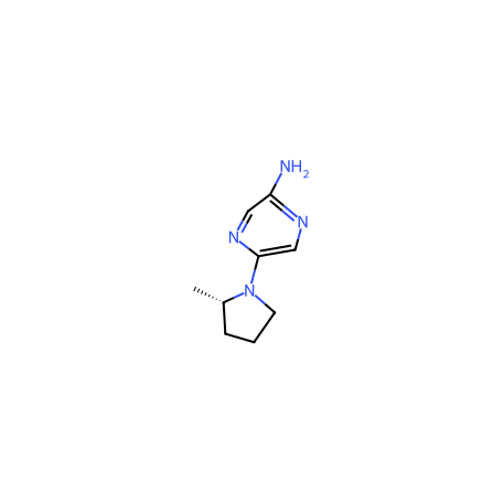 C[C@H]1CCCN1c1cnc(N)cn1